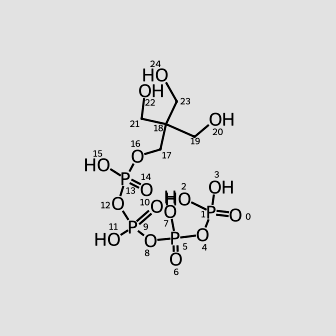 O=P(O)(O)OP(=O)(O)OP(=O)(O)OP(=O)(O)OCC(CO)(CO)CO